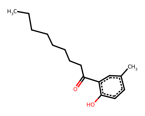 CCCCCCCCC(=O)c1cc(C)ccc1O